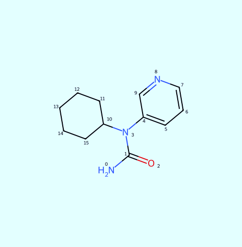 NC(=O)N(c1cccnc1)C1CCCCC1